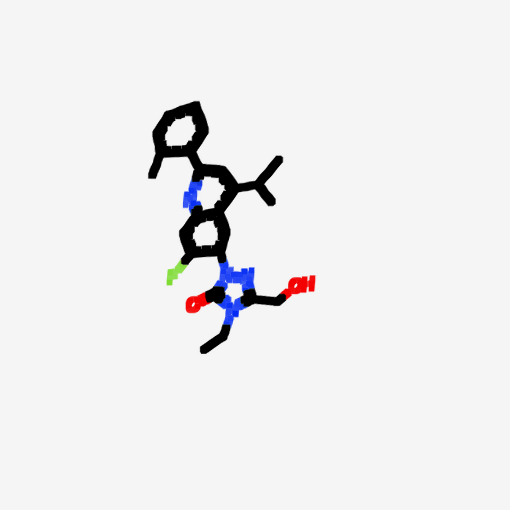 CCn1c(CO)nn(-c2cc3c(C(C)C)cc(-c4ccccc4C)nc3cc2F)c1=O